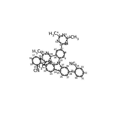 Cc1nc(C)nc(-c2ccc(-n3c4cc(-c5ccccc5C#N)ccc4c4ccc(-c5ccccc5C#N)cc43)c(-c3nc(C)nc(C)n3)c2)n1